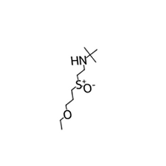 CCOCCC[S+]([O-])CCNC(C)(C)C